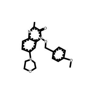 COc1ccc(COn2c(=O)c(C)nc3ccc(N4CCOCC4)cc32)cc1